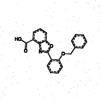 O=C(O)c1cccc2oc(-c3ccccc3OCc3ccccc3)nc12